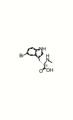 CN[C@@H](Cc1c[nH]c2ccc(Br)cc12)C(=O)O